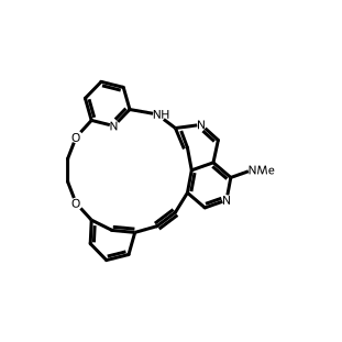 CNc1ncc2c3cc(ncc13)Nc1cccc(n1)OCCOc1cccc(c1)C#C2